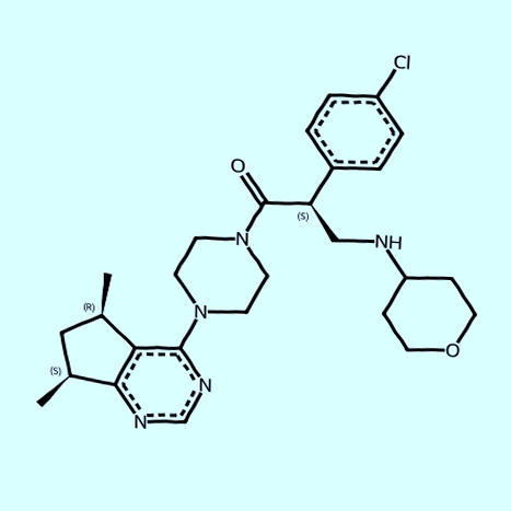 C[C@@H]1C[C@H](C)c2ncnc(N3CCN(C(=O)[C@H](CNC4CCOCC4)c4ccc(Cl)cc4)CC3)c21